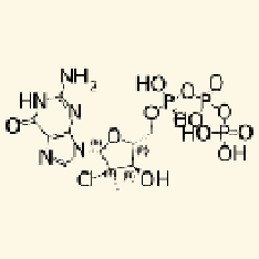 C[C@@]1(Cl)[C@H](O)[C@@H](COP(=O)(O)OP(=O)(O)OP(=O)(O)O)O[C@H]1n1cnc2c(=O)[nH]c(N)nc21